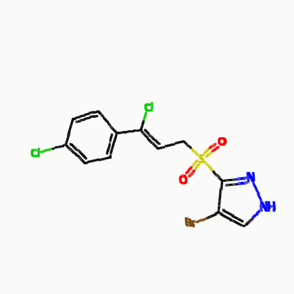 O=S(=O)(CC=C(Cl)c1ccc(Cl)cc1)c1n[nH]cc1Br